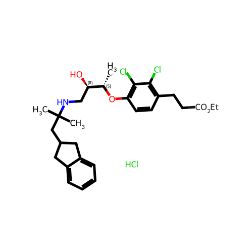 CCOC(=O)CCc1ccc(O[C@@H](C)[C@H](O)CNC(C)(C)CC2Cc3ccccc3C2)c(Cl)c1Cl.Cl